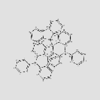 O=c1c2ccccc2n(-c2ccccc2)c2cccc(C3(n4c5ccccc5c5ccccc54)c4ccccc4N(c4ccccc4)c4ccccc43)c12